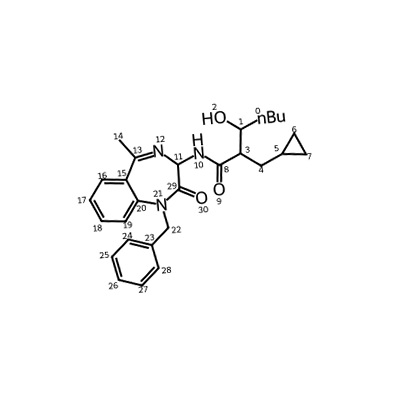 CCCCC(O)C(CC1CC1)C(=O)NC1N=C(C)c2ccccc2N(Cc2ccccc2)C1=O